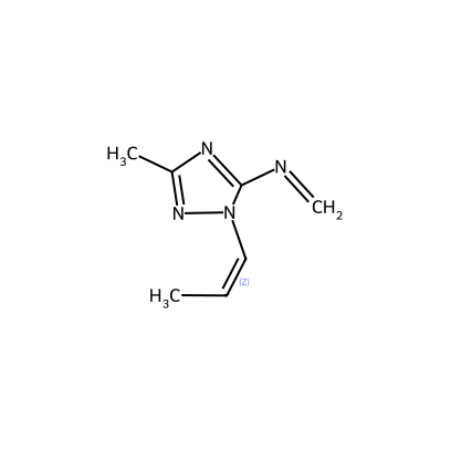 C=Nc1nc(C)nn1/C=C\C